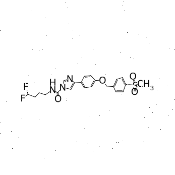 CS(=O)(=O)c1ccc(COc2ccc(-c3cn(C(=O)NCCCC(F)F)cn3)cc2)cc1